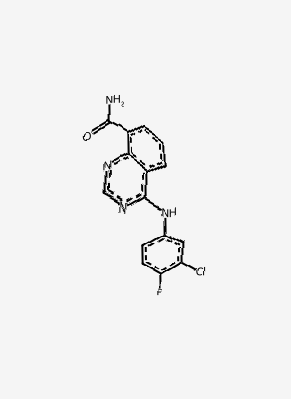 NC(=O)c1cccc2c(Nc3ccc(F)c(Cl)c3)ncnc12